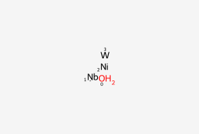 O.[Nb].[Ni].[W]